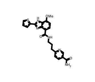 COc1ccc(C(=O)NCCCc2ccc(C(N)=O)cn2)c2nc(-c3cccs3)[nH]c12